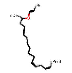 CCCCC/C=C\C/C=C\CCCCCCCCC(CCCCCCCCCC)O/C=C/C(C)(C)C